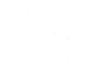 Cn1cc2c(c(-c3ccccc3OCC(F)(F)F)c1=O)CN(c1ccc(OCC(C)(C)O)cc1)C2=O